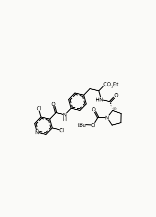 CCOC(=O)C(Cc1ccc(NC(=O)c2c(Cl)cncc2Cl)cc1)NC(=O)[C@@H]1CCCN1C(=O)OC(C)(C)C